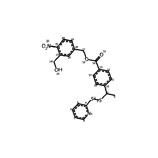 CC(SSc1ccccn1)c1ccc(C(=O)OCc2ccc([N+](=O)[O-])c(CO)c2)cc1